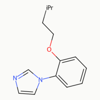 CC(C)CCOc1ccccc1-n1ccnc1